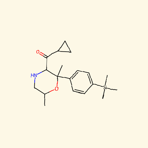 CC1CNC(C(=O)C2CC2)C(C)(c2ccc([Si](C)(C)C)cc2)O1